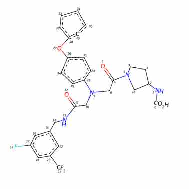 O=C(O)NC1CCN(C(=O)CN(CC(=O)NCc2cc(F)cc(C(F)(F)F)c2)c2ccc(Oc3ccccc3)cc2)C1